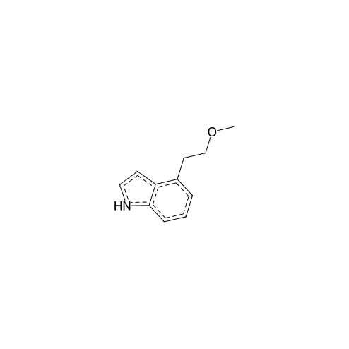 COCCc1cccc2[nH]ccc12